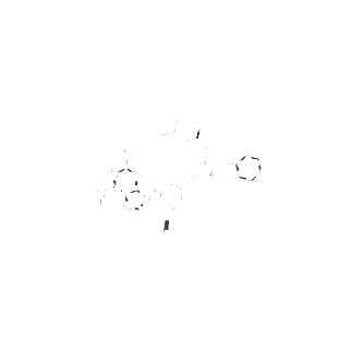 C#C[C@H]1C[C@@H](CO[P@](=O)(N[C@@H](C)C(=O)OC(C)C)Oc2ccccc2)O[C@H]1n1cnc2c(N(C)C)nc(N)nc21